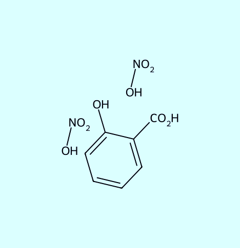 O=C(O)c1ccccc1O.O=[N+]([O-])O.O=[N+]([O-])O